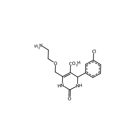 NCCOCC1=C(C(=O)O)C(c2cccc(Cl)c2)NC(=O)N1